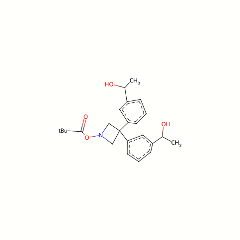 CC(O)c1cccc(C2(c3cccc(C(C)O)c3)CN(OC(=O)C(C)(C)C)C2)c1